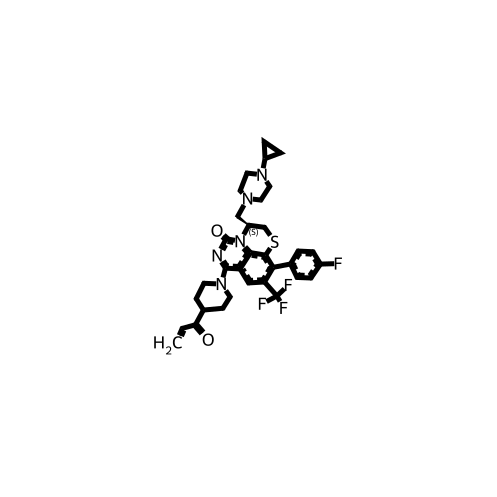 C=CC(=O)C1CCN(c2nc(=O)n3c4c(c(-c5ccc(F)cc5)c(C(F)(F)F)cc24)SC[C@@H]3CN2CCN(C3CC3)CC2)CC1